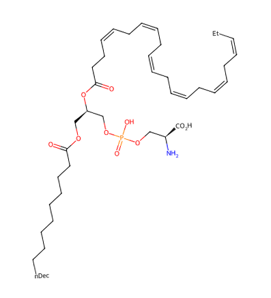 CC/C=C\C/C=C\C/C=C\C/C=C\C/C=C\C/C=C\CCC(=O)O[C@H](COC(=O)CCCCCCCCCCCCCCCCCC)COP(=O)(O)OC[C@H](N)C(=O)O